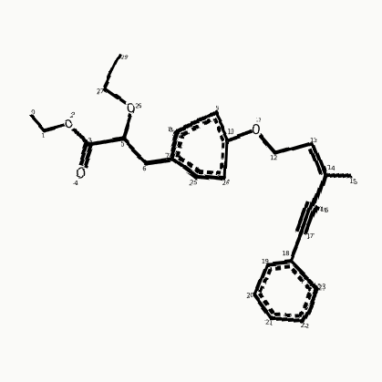 CCOC(=O)C(Cc1ccc(OCC=C(C)C#Cc2ccccc2)cc1)OCC